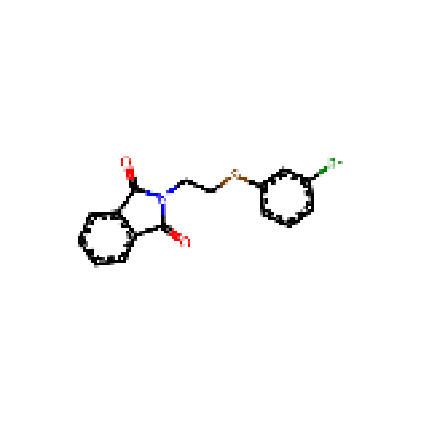 O=C1c2ccccc2C(=O)N1CCSc1cccc(Br)c1